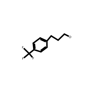 [O]CCCc1ccc(C(F)(F)F)cc1